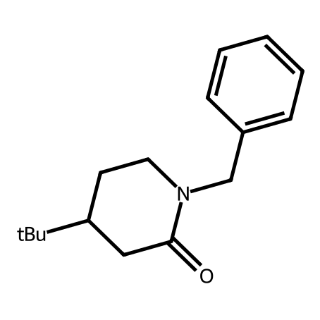 CC(C)(C)C1CCN(Cc2ccccc2)C(=O)C1